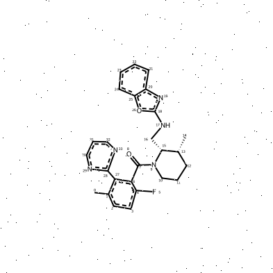 Cc1ccc(F)c(C(=O)N2CCC[C@@H](C)[C@H]2CNc2nc3ccccc3o2)c1-c1ncccn1